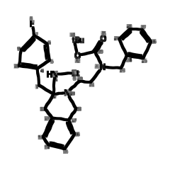 CCNC1(Cc2ccc(F)cc2)Cc2ccccc2CN1CCN(Cc1ccccc1)C(=O)OC(C)(C)C